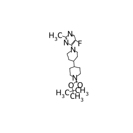 Cc1ncc(F)c(N2CCC(C3CCN(C(=O)OC(C)(C)C)CC3)CC2)n1